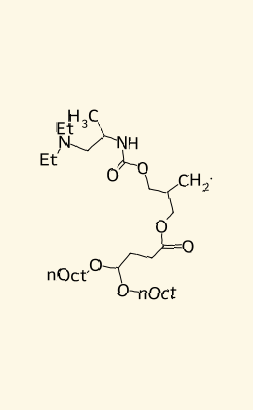 [CH2]C(COC(=O)CCC(OCCCCCCCC)OCCCCCCCC)COC(=O)NC(C)CN(CC)CC